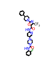 O=C(Nc1ccc(N2CCN(C(=O)Nc3ccccc3F)CC2)cn1)c1oc(N2CCC(c3ccccc3)CC2)nc1C(F)(F)F